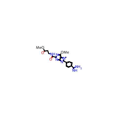 COC(=O)CCNC(=O)c1nc(OC)c2c(n1)nc(-c1ccc(C(=N)N)cc1)n2C